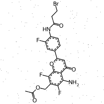 CC(=O)OCc1c(F)c(N)c2c(=O)cc(-c3ccc(NC(=O)CCBr)c(F)c3)oc2c1F